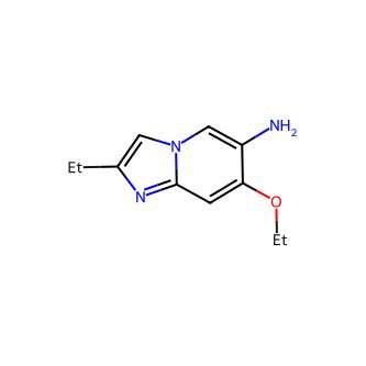 CCOc1cc2nc(CC)cn2cc1N